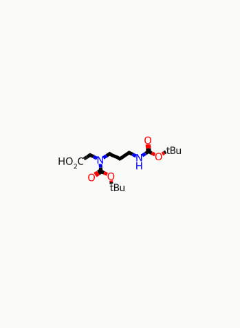 CC(C)(C)OC(=O)NCCCN(CC(=O)O)C(=O)OC(C)(C)C